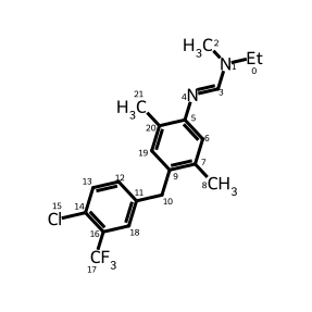 CCN(C)C=Nc1cc(C)c(Cc2ccc(Cl)c(C(F)(F)F)c2)cc1C